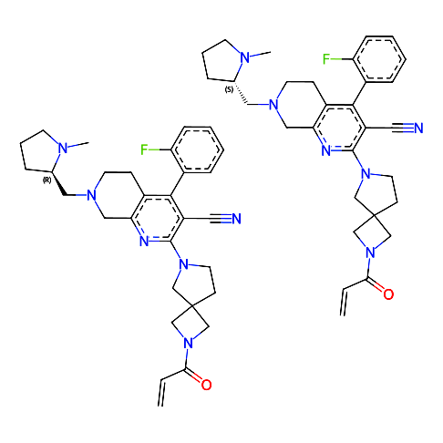 C=CC(=O)N1CC2(CCN(c3nc4c(c(-c5ccccc5F)c3C#N)CCN(C[C@@H]3CCCN3C)C4)C2)C1.C=CC(=O)N1CC2(CCN(c3nc4c(c(-c5ccccc5F)c3C#N)CCN(C[C@H]3CCCN3C)C4)C2)C1